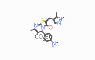 CCOC(=O)C1=C(C)N=c2s/c(=C/c3cnn(C)c3C)c(=O)n2C1c1ccc(N(C)C)cc1